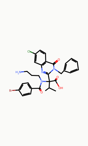 CC(C)C(C(=O)O)(c1nc2cc(Cl)ccc2c(=O)n1Cc1ccccc1)N(CCCN)C(=O)c1ccc(Br)cc1